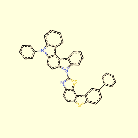 c1ccc(-c2ccc3sc4ccc5nc(-n6c7ccccc7c7c8c9ccccc9n(-c9ccccc9)c8ccc76)sc5c4c3c2)cc1